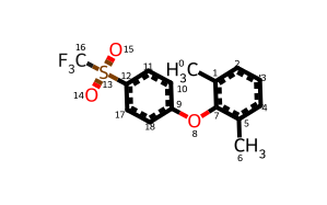 Cc1c[c]cc(C)c1Oc1ccc(S(=O)(=O)C(F)(F)F)cc1